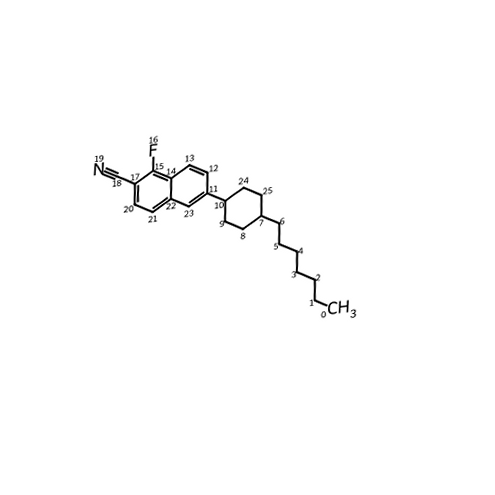 CCCCCCCC1CCC(c2ccc3c(F)c(C#N)ccc3c2)CC1